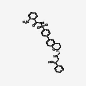 Nc1ccccc1C(=O)NS(=O)(=O)c1ccc(-c2ccc3c(c2)CC[C@H](CNC[C@H](O)c2cccnc2)O3)cc1